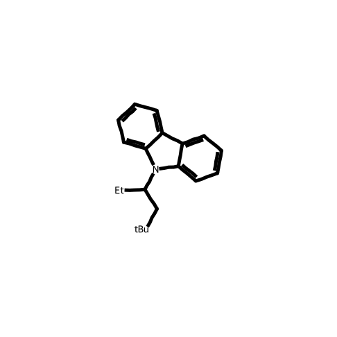 CCC(CC(C)(C)C)n1c2ccccc2c2ccccc21